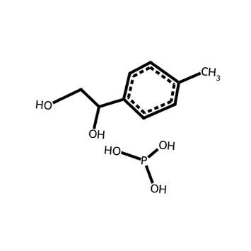 Cc1ccc(C(O)CO)cc1.OP(O)O